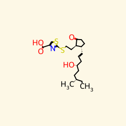 CC[C@H](C)CC[C@H](O)C/C=C/[C@H]1CCC(=O)[C@@H]1CCSc1nc(C(=O)O)cs1